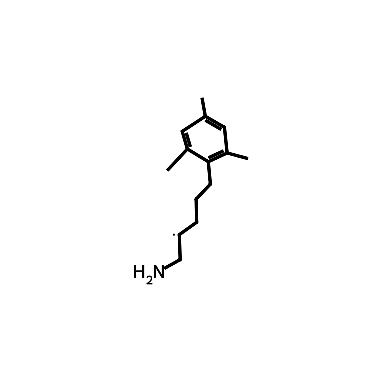 Cc1cc(C)c(CCC[CH]CN)c(C)c1